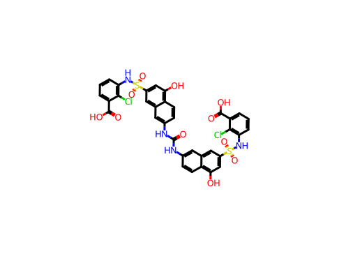 O=C(Nc1ccc2c(O)cc(S(=O)(=O)Nc3cccc(C(=O)O)c3Cl)cc2c1)Nc1ccc2c(O)cc(S(=O)(=O)Nc3cccc(C(=O)O)c3Cl)cc2c1